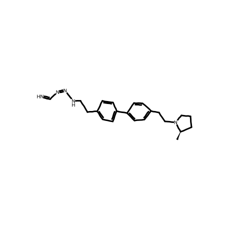 C[C@@H]1CCCN1CCc1ccc(-c2ccc(CCN/N=N\C=N)cc2)cc1